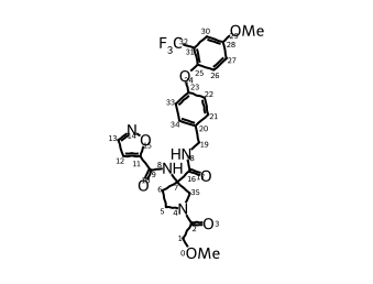 COCC(=O)N1CCC(NC(=O)c2ccno2)(C(=O)NCc2ccc(Oc3ccc(OC)cc3C(F)(F)F)cc2)C1